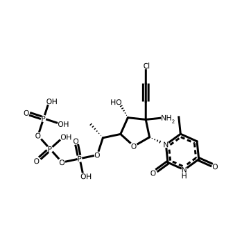 Cc1cc(=O)[nH]c(=O)n1[C@@H]1OC([C@@H](C)OP(=O)(O)OP(=O)(O)OP(=O)(O)O)[C@H](O)C1(N)C#CCl